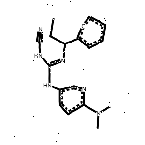 CCC(N=C(NC#N)Nc1ccc(N(C)C)nc1)c1ccccc1